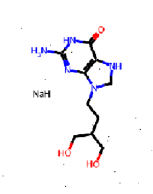 Nc1nc2c(c(=O)[nH]1)NCN2CCC(CO)CO.[NaH]